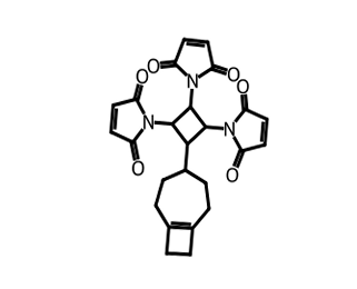 O=C1C=CC(=O)N1C1C(C2CCC3=C(CC3)CC2)C(N2C(=O)C=CC2=O)C1N1C(=O)C=CC1=O